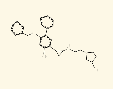 NC1CCN(CCNC2CC2c2cc(-c3ccccc3)c(OCc3ccccc3)cc2C(F)(F)F)C1